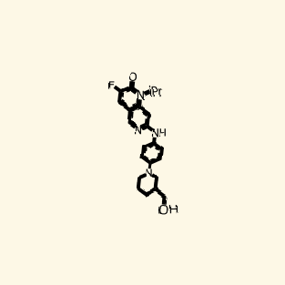 CC(C)n1c(=O)c(F)cc2cnc(Nc3ccc(N4CCCC(CO)C4)cc3)cc21